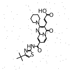 CC(C)(C)c1csc(NC(=O)c2ccn3c(=O)c(/C=C/C(=O)O)c(N4CCCCC4)nc3c2)n1